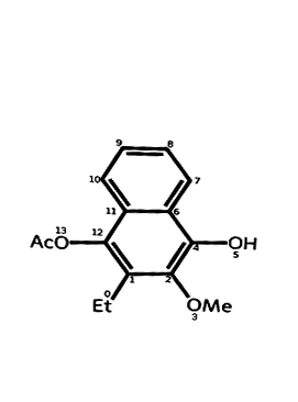 CCc1c(OC)c(O)c2ccccc2c1OC(C)=O